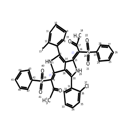 CC(=O)/C(=c1/[nH]c(-c2ccccc2I)c2/c(=C(\C(C)=O)S(=O)(=O)c3ccccc3)[nH]c(-c3ccccc3Cl)c12)S(=O)(=O)c1ccccc1